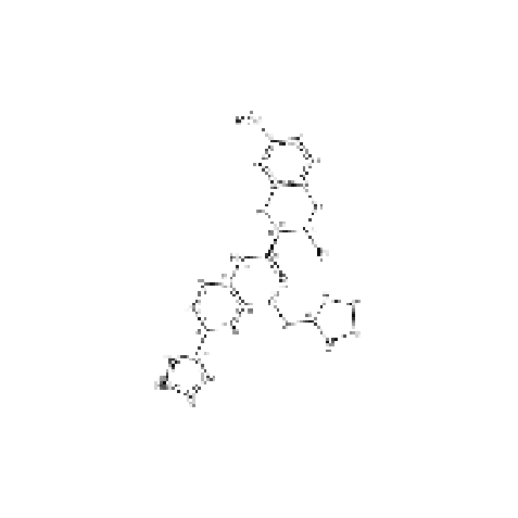 CCN1Cc2ccc(OC)cc2C[C@@H]1C(=O)Nc1ccc(-c2cn[nH]c2)cc1OCC1CCCO1